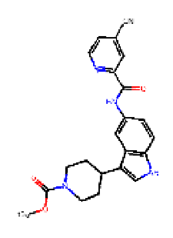 CC(C)(C)OC(=O)N1CCC(c2c[nH]c3ccc(NC(=O)c4cc(C#N)ccn4)cc23)CC1